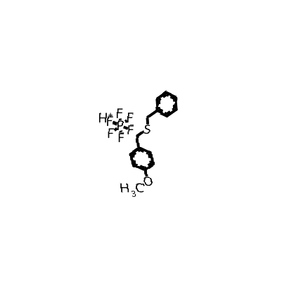 COc1ccc(CSCc2ccccc2)cc1.F[P-](F)(F)(F)(F)F.[H+]